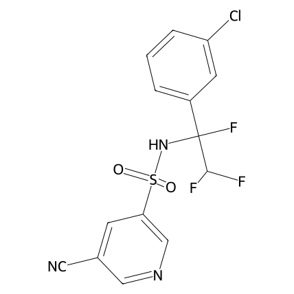 N#Cc1cncc(S(=O)(=O)NC(F)(c2cccc(Cl)c2)C(F)F)c1